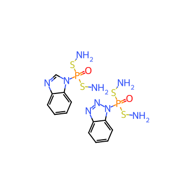 NSP(=O)(SN)n1cnc2ccccc21.NSP(=O)(SN)n1nnc2ccccc21